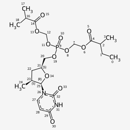 CCC(C)C(=O)OCOP(=O)(OCOC(=O)C(C)C)OC[C@@H]1C[C@H](C)[C@H](n2ccc(=O)[nH]c2=O)O1